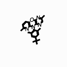 Cc1cnc2c(n1)Oc1ccc(C)nc1N2c1c(C)cc(C(C)(C)C)cc1C